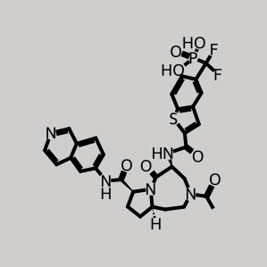 CC(=O)N1CC[C@H]2CC[C@@H](C(=O)Nc3ccc4cnccc4c3)N2C(=O)[C@@H](NC(=O)c2cc3cc(C(F)(F)P(=O)(O)O)ccc3s2)C1